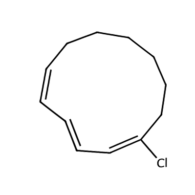 Cl/C1=C/C=C/C=C\CCCCCC1